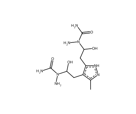 Cc1n[nH]c(CC(O)N(N)C(N)=O)c1CC(O)N(N)C(N)=O